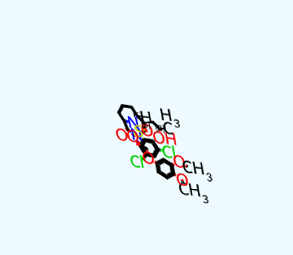 COc1ccc(OCCN2C[C@H](C[C@@H](C)O)[C@@H]3CCCC(C2=O)N3S(=O)(=O)c2cc(Cl)cc(Cl)c2)cc1OC